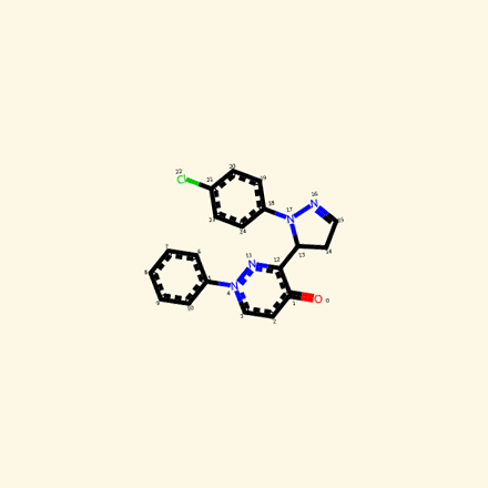 O=c1ccn(-c2ccccc2)nc1C1CC=NN1c1ccc(Cl)cc1